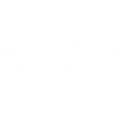 COc1ccc(-c2cnc3c(Nc4ccc(C(=O)N5CCN(Cc6cnc[nH]6)CC5)c(C)c4)nccn23)cc1F